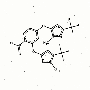 Cn1nc(C(F)(F)F)cc1Oc1ccc([N+](=O)[O-])c(Oc2cc(C(F)(F)F)n(C)n2)c1